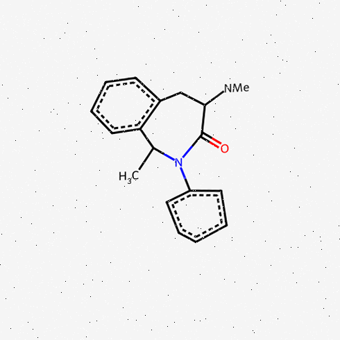 CNC1Cc2ccccc2C(C)N(c2ccccc2)C1=O